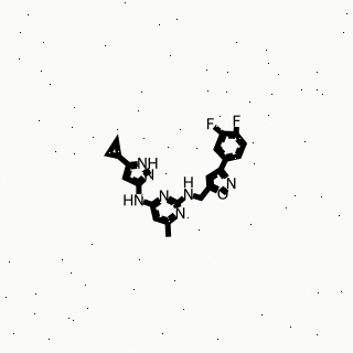 Cc1cc(Nc2cc(C3CC3)[nH]n2)nc(NCc2cc(-c3ccc(F)c(F)c3)no2)n1